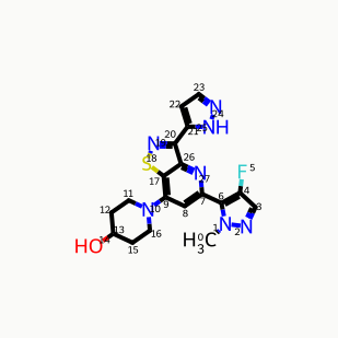 Cn1ncc(F)c1-c1cc(N2CCC(O)CC2)c2snc(-c3ccn[nH]3)c2n1